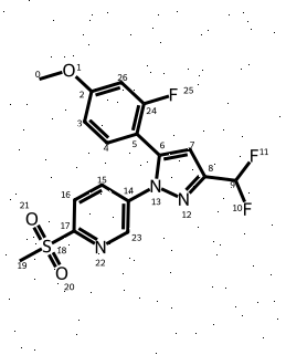 COc1ccc(-c2cc(C(F)F)nn2-c2ccc(S(C)(=O)=O)nc2)c(F)c1